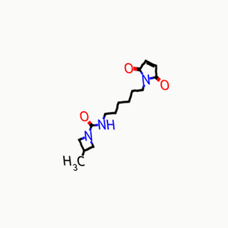 CC1CN(C(=O)NCCCCCCN2C(=O)C=CC2=O)C1